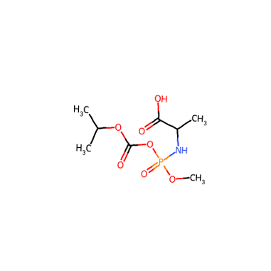 COP(=O)(NC(C)C(=O)O)OC(=O)OC(C)C